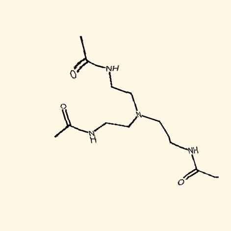 CC(=O)NCCN(CCNC(C)=O)CCNC(C)=O